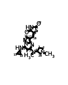 CN1CCC(N(C)c2cc(NC3CC3)n3ncc(/C=C4/SC(=O)NC4=O)c3n2)C1